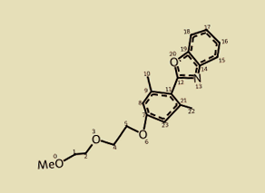 COCCOCCOc1cc(C)c(-c2nc3ccccc3o2)c(C)c1